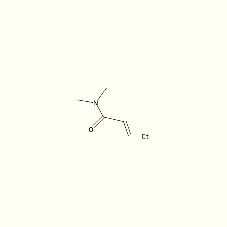 C[CH]C=CC(=O)N(C)C